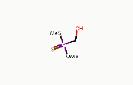 COP(=S)(CO)SC